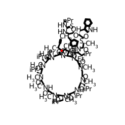 CC#C[C@@H](C)C[C@@H](C)[C@@H](OC(=O)C(CC(C)C)NC(=O)[C@@H](C)SC(=O)[C@@H](Cc1c[nH]c2ccccc12)OC(O)[C@H](Cc1ccccc1)NC(=S)NCCC)[C@H]1C(=O)N[C@@H](CC)C(=O)N(C)CC(=O)N(C)[C@@H](CC(C)C)C(=O)N[C@@H](C(C)C)C(=O)N(C)[C@@H](CC(C)C)C(=O)N[C@@H](C)C(=O)N[C@H](C)C(=O)N(C)[C@@H](CC(C)C)C(=O)N(C)[C@@H](CC(C)C)C(=O)N(C)[C@@H](C(C)C)C(=O)N1C